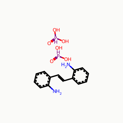 Nc1ccccc1/C=C/c1ccccc1N.O=[PH](O)O.O=[PH](O)O